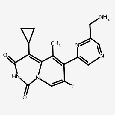 Cc1c(-c2cncc(CN)n2)c(F)cn2c(=O)[nH]c(=O)c(C3CC3)c12